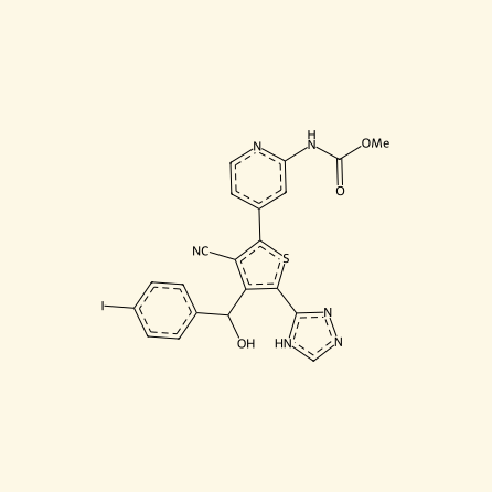 COC(=O)Nc1cc(-c2sc(-c3nnc[nH]3)c(C(O)c3ccc(I)cc3)c2C#N)ccn1